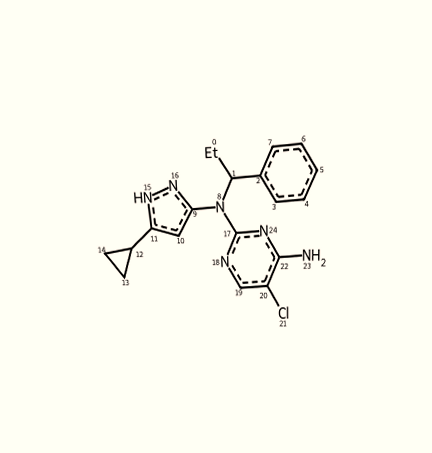 CCC(c1ccccc1)N(c1cc(C2CC2)[nH]n1)c1ncc(Cl)c(N)n1